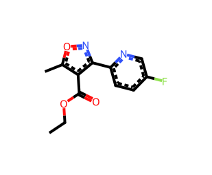 CCOC(=O)c1c(-c2ccc(F)cn2)noc1C